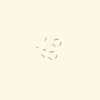 Cc1cccc2c1CC=C1OS(=O)c3ccc4c(C)cccc4c3C12